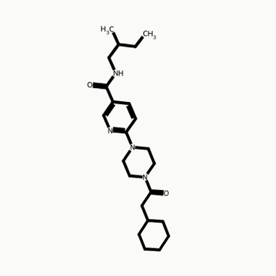 CCC(C)CNC(=O)c1ccc(N2CCN(C(=O)CC3CCCCC3)CC2)nc1